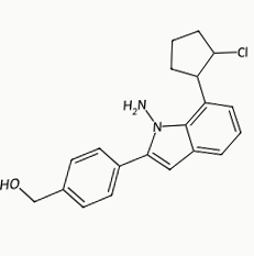 Nn1c(-c2ccc(CO)cc2)cc2cccc(C3CCCC3Cl)c21